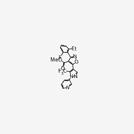 CCc1cccc(F)c1-c1noc(-c2cnn(-c3cccnc3)c2C(F)(F)F)c1C(=O)OC